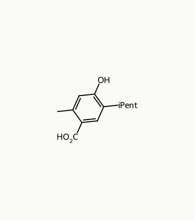 CCCC(C)c1cc(C(=O)O)c(C)cc1O